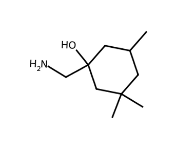 CC1CC(C)(C)CC(O)(CN)C1